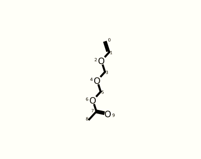 C=COCOCOC(C)=O